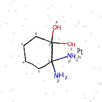 NC1(N)CCCCC1(O)O.[Pt]